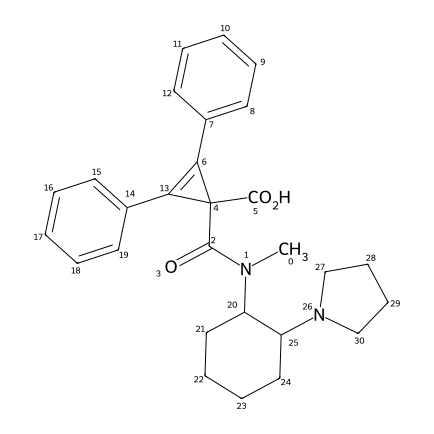 CN(C(=O)C1(C(=O)O)C(c2ccccc2)=C1c1ccccc1)C1CCCCC1N1CCCC1